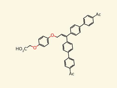 CC(=O)c1ccc(-c2ccc(C(=CCOc3ccc(OCC(=O)O)cc3)c3ccc(-c4ccc(C(C)=O)cc4)cc3)cc2)cc1